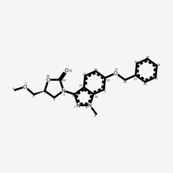 COC[C@@H]1CN(c2nn(C)c3cc(OCc4ccccc4)ccc23)C(=O)O1